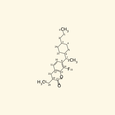 CCCC1CCC(C(C)c2ccc3c(c2F)OC(=O)C(CC)C3)CC1